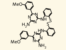 COc1cccc(-c2nc(N)nc(Nc3ccccc3SSc3ccccc3Nc3nc(N)nc(-c4cccc(OC)c4)n3)n2)c1